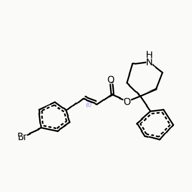 O=C(/C=C/c1ccc(Br)cc1)OC1(c2ccccc2)CCNCC1